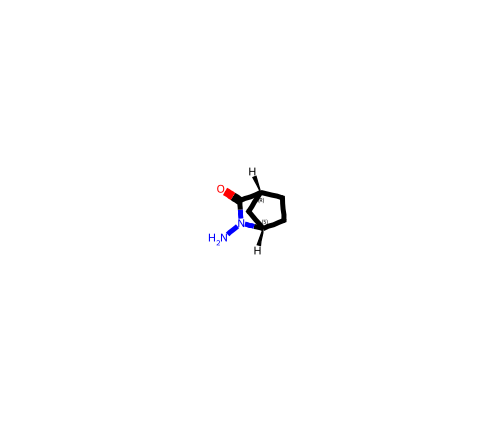 NN1C(=O)[C@@H]2CC[C@H]1C2